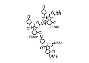 CCCNC(=O)Cc1c(C)n(C(=O)c2ccc(Cl)cc2)c2ccc(OC)c(Cl)c12.CCNC(=O)Cc1c(C)n(C(=O)c2ccc(Cl)cc2)c2ccc(OC)c(Cl)c12.CNC(=O)Cc1c(C)n(C(=O)c2ccc(Cl)cc2)c2ccc(OC)c(Cl)c12